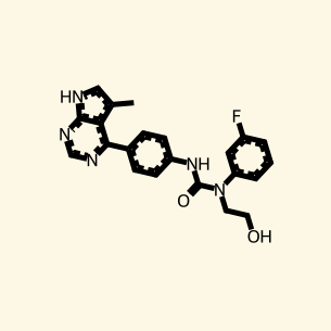 Cc1c[nH]c2ncnc(-c3ccc(NC(=O)N(CCO)c4cccc(F)c4)cc3)c12